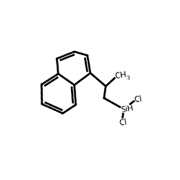 CC(C[SiH](Cl)Cl)c1cccc2ccccc12